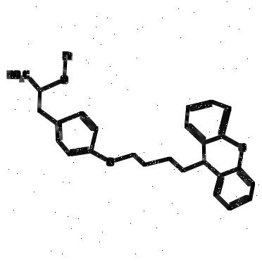 CCOC(Cc1ccc(OCCCCC2c3ccccc3Oc3ccccc32)cc1)C(=O)O